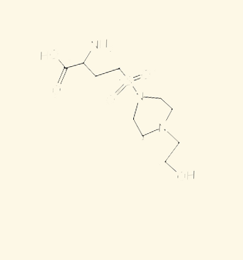 NC(CCS(=O)(=O)N1CCN(CCO)CC1)C(=O)O